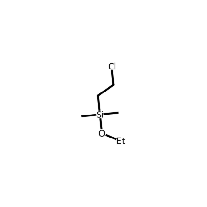 CCO[Si](C)(C)CCCl